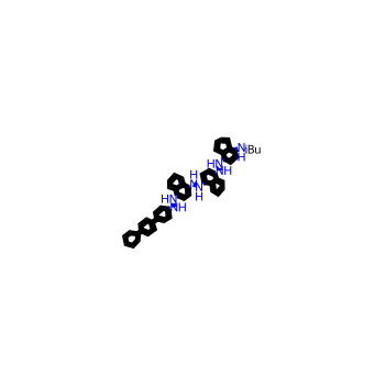 CCC(C)NC1=C2C=CC=CC2C(NNc2ccc(NNc3ccc(NNc4ccc(-c5ccc(C6CCCCC6)cc5)cc4)c4ccccc34)c3ccccc23)C=C1